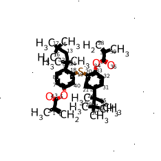 C=C(C)C(=O)Oc1ccc(C(C)(C)CC(C)(C)C)c(Sc2cc(C(C)(CC)C(C)(C)C)ccc2OC(=O)C(=C)C)c1